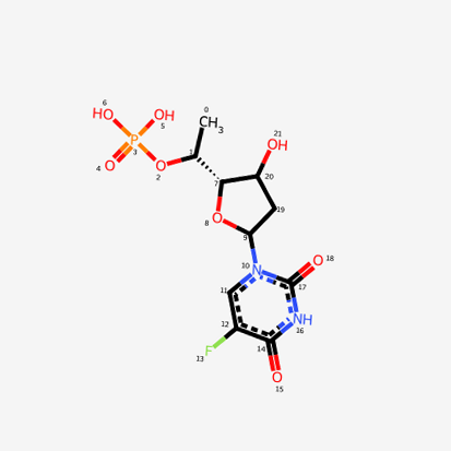 CC(OP(=O)(O)O)[C@H]1OC(n2cc(F)c(=O)[nH]c2=O)CC1O